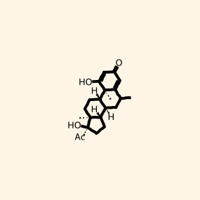 CC(=O)[C@@]1(O)CC[C@H]2[C@@H]3CC(C)C4=CC(=O)C=C(O)[C@]4(C)[C@H]3CC[C@@]21C